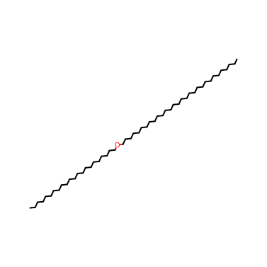 CCCCCCCCCCCCCCCCCCCCCCCCCCCCCCOCCCCCCCCCCCCCCCCCCCCCC